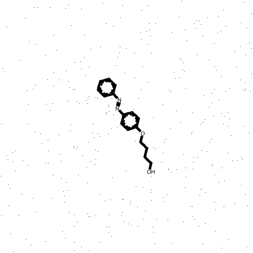 OCCCCOc1ccc(/N=N/c2ccccc2)cc1